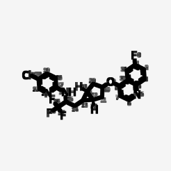 Fc1ccc2nccc(OC3C[C@@H]4C(CC(Nc5ccc(Cl)cn5)C(F)(F)F)[C@@H]4C3)c2c1